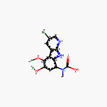 CN(C(=O)O)c1cc(OF)c(OF)c2c1[nH]c1ncc(Br)cc12